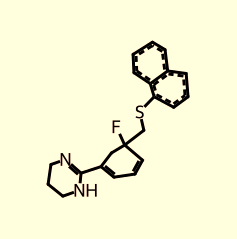 FC1(CSc2cccc3ccccc23)C=CC=C(C2=NCCCN2)C1